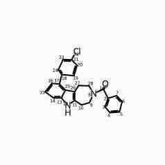 O=C(c1ccccc1)N1CCc2[nH]c3cccc(-c4ccc(Cl)cc4)c3c2CC1